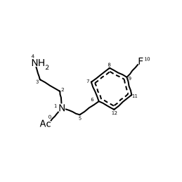 CC(=O)N(CCN)Cc1ccc(F)cc1